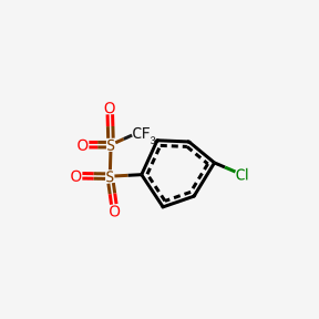 O=S(=O)(c1ccc(Cl)cc1)S(=O)(=O)C(F)(F)F